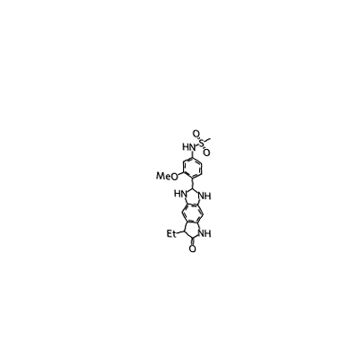 CCC1C(=O)Nc2cc3c(cc21)NC(c1ccc(NS(C)(=O)=O)cc1OC)N3